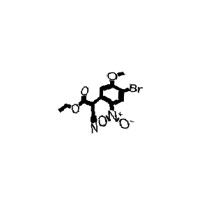 CCOC(=O)C(C#N)c1cc(OC)c(Br)cc1[N+](=O)[O-]